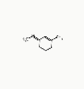 C/N=C1/C=C(C)CCC1